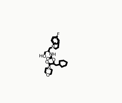 O=C(N[C@@H](CO)CN1CCc2cc(F)ccc21)OC(CC1CCCCC1)C(=O)N1CCOCC1